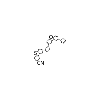 N#Cc1ccc2sc3ccc(-c4cccc(-c5ccc6oc7ccc(-c8ccccc8)cc7c6c5)c4)cc3c2c1